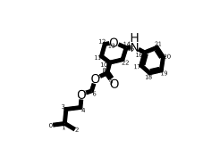 CC(C)CCOCOC(=O)C1CCOC(Nc2ccccc2)C1